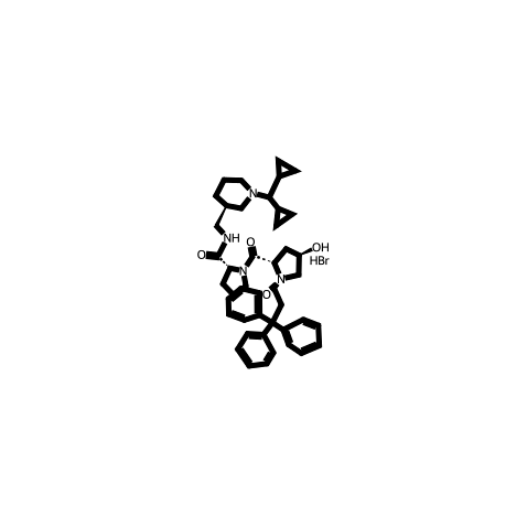 Br.O=C(NC[C@H]1CCCN(C(C2CC2)C2CC2)C1)[C@H]1CCCN1C(=O)[C@@H]1C[C@@H](O)CN1C(=O)CC(c1ccccc1)(c1ccccc1)c1ccccc1